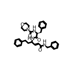 O=C(C=CC(CCc1ccccc1)NC(=O)[C@H](Cc1ccccc1)NC(=O)N1CCOCC1)NCc1ccccc1